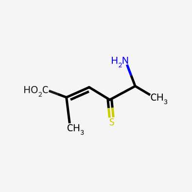 CC(=CC(=S)C(C)N)C(=O)O